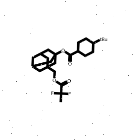 CC(F)(F)C(=O)OCC12CC3CC(C1)CC(OC(=O)C1CCC(C(C)(C)C)CC1)(C3)C2